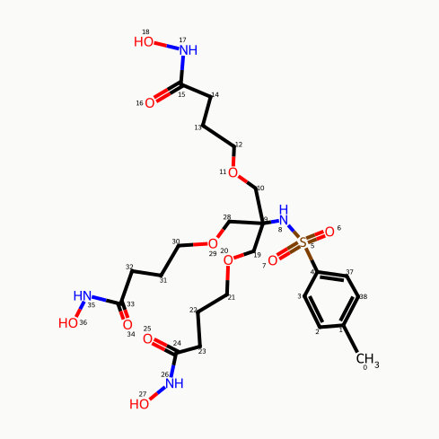 Cc1ccc(S(=O)(=O)NC(COCCCC(=O)NO)(COCCCC(=O)NO)COCCCC(=O)NO)cc1